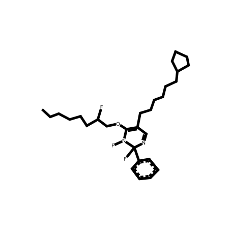 CCCCCCC(F)COC1=C(CCCCCCC2CCCC2)C=NC(F)(c2ccccc2)N1F